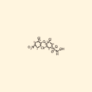 O=[N+]([O-])c1ccc(Oc2c(Cl)cc(S(=O)(=O)NO)cc2Cl)c(Cl)c1